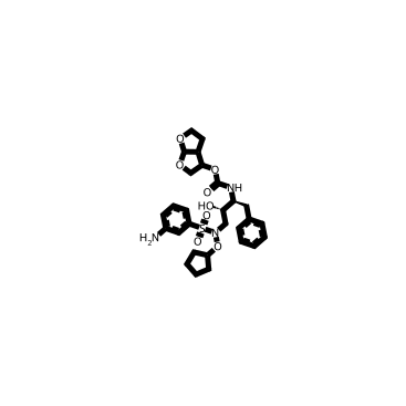 Nc1cccc(S(=O)(=O)N(C[C@H](O)[C@H](Cc2ccccc2)NC(=O)OC2COC3OCCC23)OC2CCCC2)c1